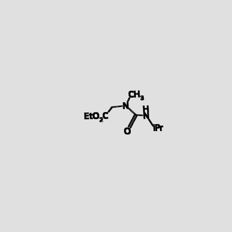 CCOC(=O)CN(C)C(=O)NC(C)C